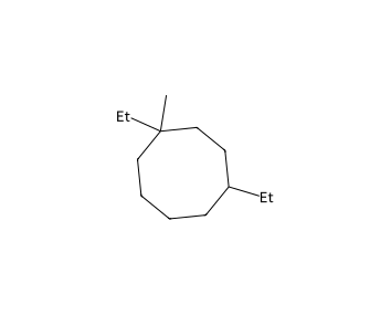 CCC1CCCCC(C)(CC)CC1